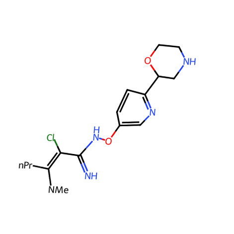 CCC/C(NC)=C(\Cl)C(=N)NOc1ccc(C2CNCCO2)nc1